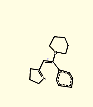 C(/C1=NCCC1)=C(/c1ccccc1)N1CCCCC1